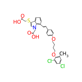 Cc1cc(Cl)cc(Cl)c1OCCCCOc1ccc(C=Cc2cccc3c(SCC(=O)O)cn(CC(=O)O)c23)cc1